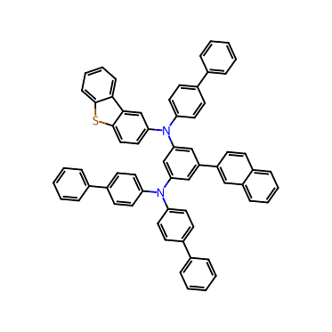 c1ccc(-c2ccc(N(c3ccc(-c4ccccc4)cc3)c3cc(-c4ccc5ccccc5c4)cc(N(c4ccc(-c5ccccc5)cc4)c4ccc5sc6ccccc6c5c4)c3)cc2)cc1